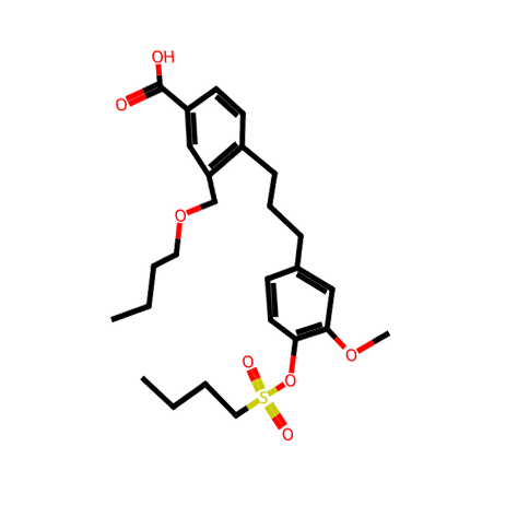 CCCCOCc1cc(C(=O)O)ccc1CCCc1ccc(OS(=O)(=O)CCCC)c(OC)c1